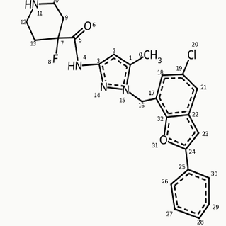 Cc1cc(NC(=O)C2(F)CCNCC2)nn1Cc1cc(Cl)cc2cc(-c3ccccc3)oc12